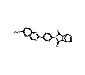 COc1ccc2nc(-c3ccc(N4C(=O)C5C6C=CC(C6)C5C4=O)cc3)ncc2c1